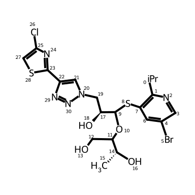 CC(C)c1ncc(Br)cc1SC(OC(CO)[C@@H](C)O)[C@@H](O)Cn1cc(-c2nc(Cl)cs2)nn1